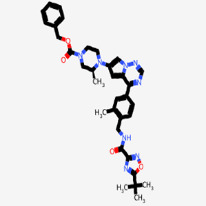 Cc1cc(-c2ncnn3cc(N4CCN(C(=O)OCc5ccccc5)C[C@@H]4C)cc23)ccc1CNC(=O)c1noc(C(C)(C)C)n1